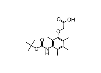 Cc1c(C)c(NC(=O)OC(C)(C)C)c(C)c(OCC(=O)O)c1C